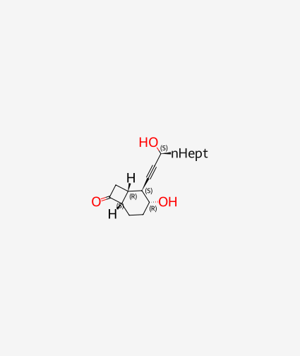 CCCCCCC[C@H](O)C#C[C@@H]1[C@H]2CC(=O)[C@H]2CC[C@H]1O